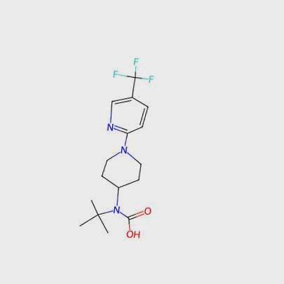 CC(C)(C)N(C(=O)O)C1CCN(c2ccc(C(F)(F)F)cn2)CC1